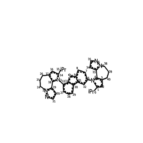 CC(C)c1cc2c(n1-c1ccc3sc4c(-n5c(C(C)C)cc6c5-c5ccnn5CCC6)cccc4c3c1)-c1ccnn1CCC2